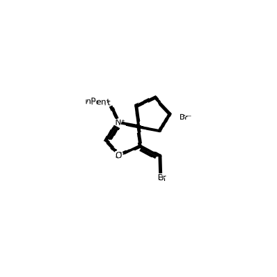 CCCCC[N+]1=COC(=CBr)C12CCCC2.[Br-]